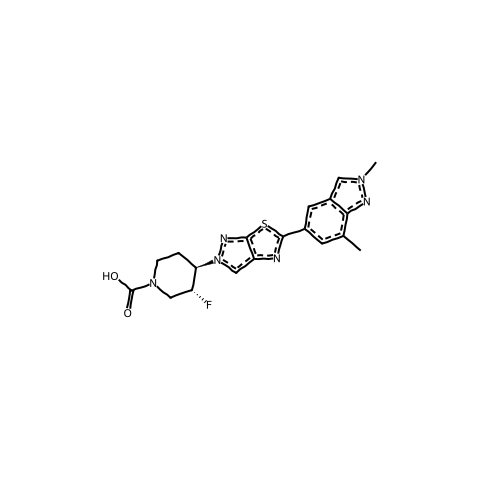 Cc1cc(-c2nc3cn([C@@H]4CCN(C(=O)O)C[C@H]4F)nc3s2)cc2cn(C)nc12